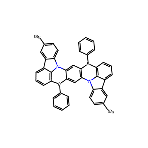 CC(C)(C)c1ccc2c(c1)c1cccc3c1n2-c1cc2c(cc1B3c1ccccc1)-n1c3ccc(C(C)(C)C)cc3c3cccc(c31)B2c1ccccc1